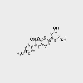 C[n+]1ccc(-c2cc3ccc(N(CCO)CCO)cc3oc2=O)cc1